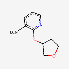 O=[N+]([O-])c1cccnc1OC1CCOC1